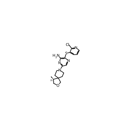 C[C@@H]1COCC12CCN(c1cnc(Sc3cccnc3Cl)c(N)n1)CC2